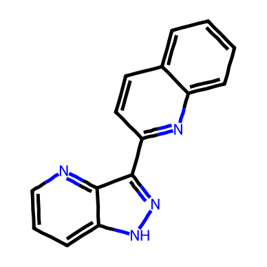 c1ccc2nc(-c3n[nH]c4cccnc34)ccc2c1